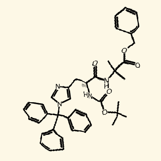 CC(C)(C)OC(=O)N[C@@H](Cc1cn(C(c2ccccc2)(c2ccccc2)c2ccccc2)cn1)C(=O)NC(C)(C)C(=O)OCc1ccccc1